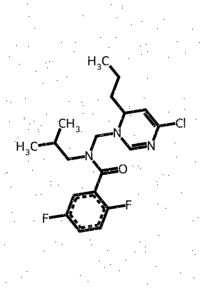 CCCC1C=C(Cl)N=CN1CN(CC(C)C)C(=O)c1cc(F)ccc1F